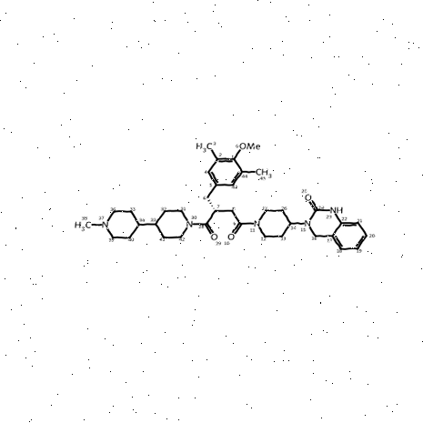 COc1c(C)cc(C[C@H](CC(=O)N2CCC(N3Cc4ccccc4NC3=O)CC2)C(=O)N2CCC(C3CCN(C)CC3)CC2)cc1C